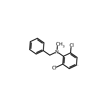 CN(Cc1ccccc1)c1c(Cl)c[c]cc1Cl